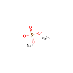 O=S(=O)([O-])[O-].[Na+].[Pb+2]